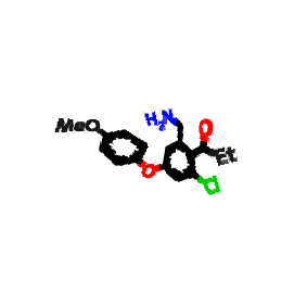 CCC(=O)c1c(Cl)cc(Oc2ccc(OC)cc2)cc1CN